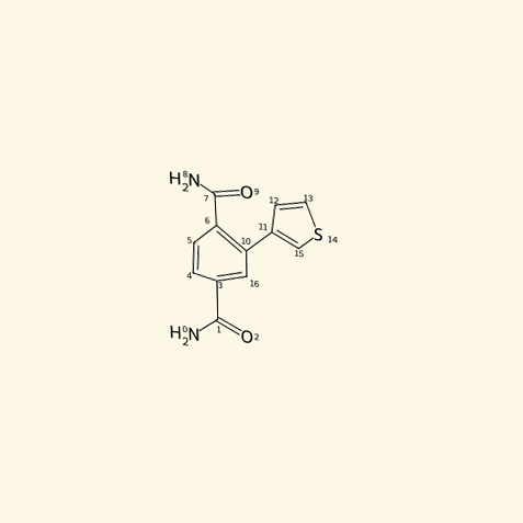 NC(=O)c1ccc(C(N)=O)c(-c2ccsc2)c1